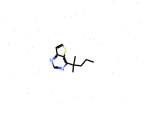 CCCC(C)(C)c1ncnc2ccsc12